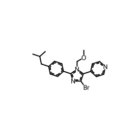 COCn1c(-c2ccc(CC(C)C)cc2)nc(Br)c1-c1ccncc1